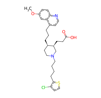 COc1ccc2nccc(CCC[C@@H]3CCN(CCCCc4sccc4Cl)C[C@@H]3CCC(=O)O)c2c1